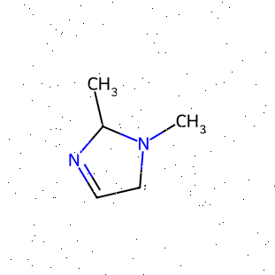 CC1N=C[C]N1C